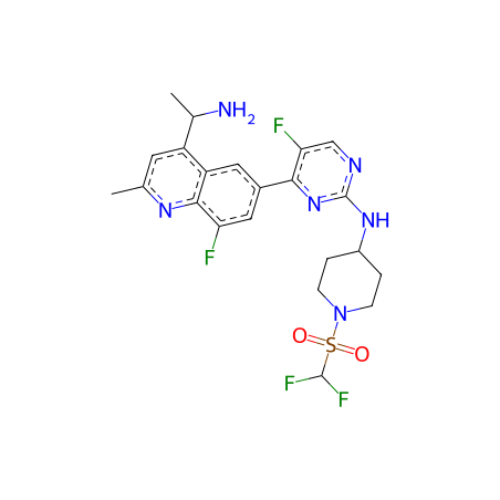 Cc1cc(C(C)N)c2cc(-c3nc(NC4CCN(S(=O)(=O)C(F)F)CC4)ncc3F)cc(F)c2n1